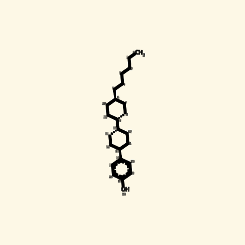 CCCCCC[C@H]1CC[C@H]([C@H]2CC[C@H](c3ccc(O)cc3)CC2)CC1